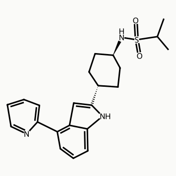 CC(C)S(=O)(=O)N[C@H]1CC[C@H](c2cc3c(-c4ccccn4)cccc3[nH]2)CC1